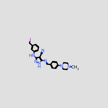 CN1CCN(c2ccc(/C=N/c3[nH]nc(Nc4cccc(CI)c4)c3C#N)cc2)CC1